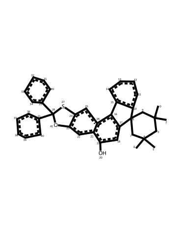 CC1(C)CC(C)(C)CC2(C1)c1ccccc1-c1c2cc(O)c2cc3c(cc12)SC(c1ccccc1)(c1ccccc1)O3